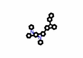 c1ccc(-n2c3ccccc3c3cc4c(cc32)c2cc(-c3ccc5c(c3)-c3ccccc3C5c3ccc5ccccc5c3)ccc2n4-c2ccccc2)cc1